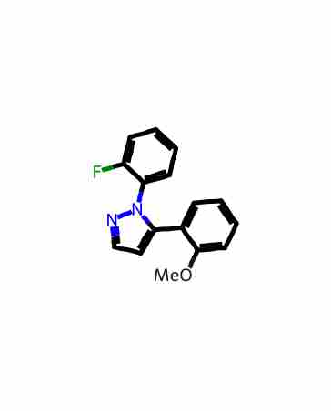 COc1ccccc1-c1ccnn1-c1ccccc1F